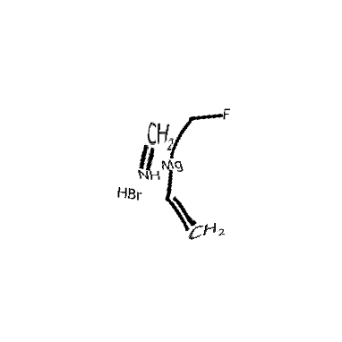 Br.C=N.C=[CH][Mg][CH2]F